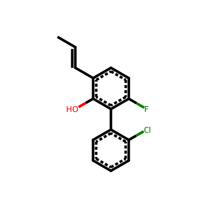 CC=Cc1ccc(F)c(-c2ccccc2Cl)c1O